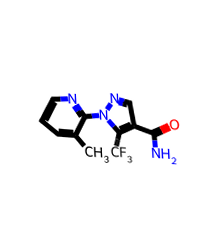 Cc1cccnc1-n1ncc(C(N)=O)c1C(F)(F)F